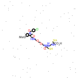 COc1ccc2c(c1)c(CC(=O)NCCOCCOCCNC(=O)C(CS)NCCN[C@H](CS)C(=O)O)c(C)n2C(=O)c1ccc(Cl)cc1